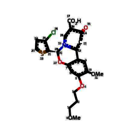 COCCCOc1cc2c(cc1OC)-c1cc(=O)c(C(=O)O)cn1[C@@H](c1sccc1Cl)O2